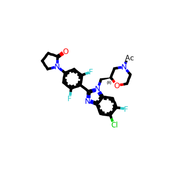 CC(=O)N1CCO[C@@H](Cn2c(-c3c(F)cc(N4CCCC4=O)cc3F)nc3cc(Cl)c(F)cc32)C1